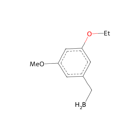 BCc1cc(OC)cc(OCC)c1